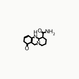 NC(=O)C1CCCN2CC3=C(C=CCC3=O)NC12